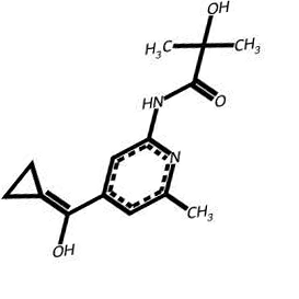 Cc1cc(C(O)=C2CC2)cc(NC(=O)C(C)(C)O)n1